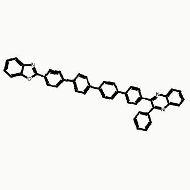 c1ccc(-c2nc3ccccc3nc2-c2ccc(-c3ccc(-c4ccc(-c5ccc(-c6nc7ccccc7o6)cc5)cc4)cc3)cc2)cc1